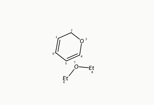 C1=CCOC=C1.CCOCC